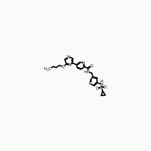 CCCCOc1cncc(-c2ccc(C(=O)NCc3cncc(NS(=O)(=O)C4CC4)c3)nc2)n1